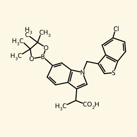 CC(C(=O)O)c1cn(Cc2csc3ccc(Cl)cc23)c2cc(B3OC(C)(C)C(C)(C)O3)ccc12